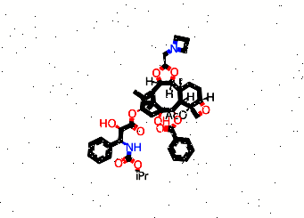 CC(=O)O[C@@]12CO[C@@H]1CC[C@@]1(C)[C@@H]3O[C@H](CN4CCC4)O[C@@H]3C3=C(C)[C@@H](OC(=O)[C@H](O)[C@@H](NC(=O)OC(C)C)c4ccccc4)C[C@@](O)([C@@H](OC(=O)c4ccccc4)[C@@H]12)C3(C)C